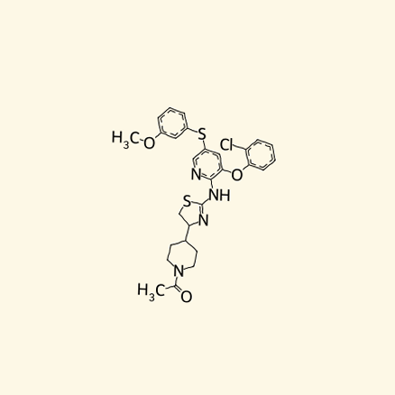 COc1cccc(Sc2cnc(NC3=NC(C4CCN(C(C)=O)CC4)CS3)c(Oc3ccccc3Cl)c2)c1